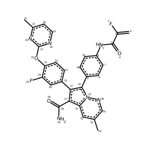 C=C(F)C(=O)Nc1ccc(-c2c(-c3ccc(Oc4nccc(C)n4)c(F)c3)c(C(N)=O)c3cc(C)cnn23)cc1